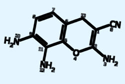 N#CC1=C(N)Oc2c(ccc(N)c2N)C1